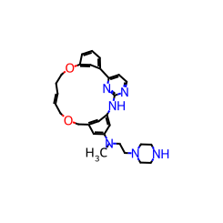 CN(CCN1CCNCC1)c1cc2cc(c1)Nc1nccc(n1)-c1cccc(c1)OCC/C=C/COC2